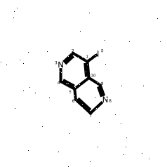 Ic1cncc2ccncc12